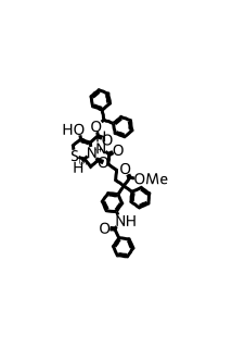 COC(=O)C(CCCC(=O)N[N+]12C(=O)C[C@@H]1SCC(O)=C2C(=O)OC(c1ccccc1)c1ccccc1)(c1ccccc1)c1cccc(NC(=O)c2ccccc2)c1